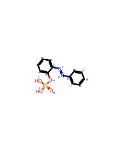 O=P(O)(O)Oc1ccccc1N=Nc1ccccc1